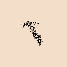 COC(CC(N)=O)C1CCC(CCN2CCC(F)(C(=O)c3ccc(F)cc3)CC2)CC1